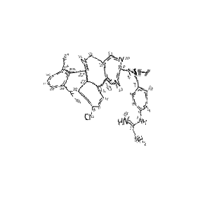 N=C(N)Nc1ccc(Nc2ncc3c(n2)C2C=CC(Cl)=CC2C(c2c(F)cccc2F)=NC3)cc1